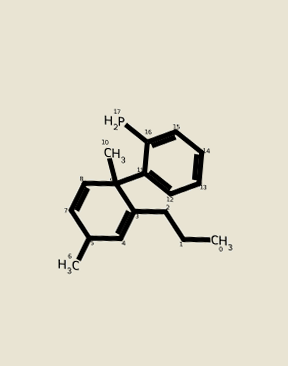 CCCC1=CC(C)C=CC1(C)c1ccccc1P